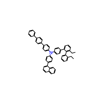 CCc1ccccc1-c1c(CC)cccc1-c1ccc(N(c2ccc(-c3ccc(-c4ccccc4)cc3)cc2)c2ccc(-c3cccc4ccccc34)cc2)cc1